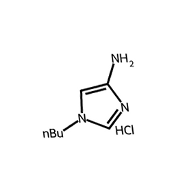 CCCCn1cnc(N)c1.Cl